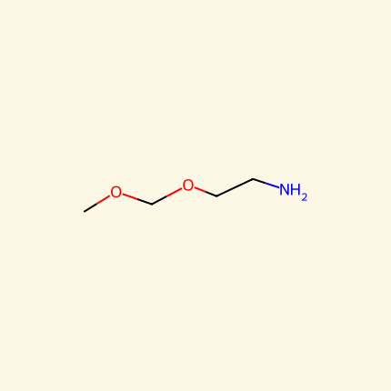 COCOCCN